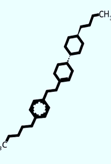 CCCCCc1ccc(CCC2=CCC([C@H]3CC[C@H](CCCC)CC3)CC2)cc1